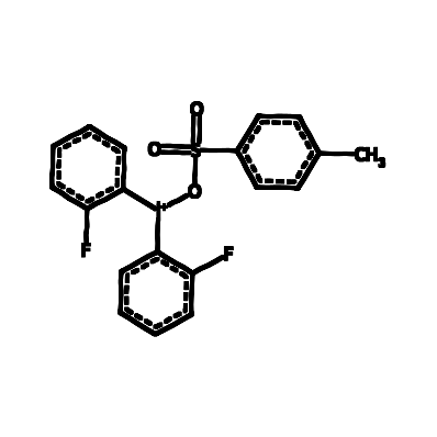 Cc1ccc(S(=O)(=O)O[I+](c2ccccc2F)c2ccccc2F)cc1